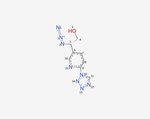 [N-]=[N+]=N[C@H](CO)c1ccc(-n2cnnn2)nc1